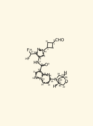 O=CC1CC(n2cc(NC(=O)c3cnn4ccc(N5C[C@H]6C[C@@H]5CO6)nc34)c(C(F)F)n2)C1